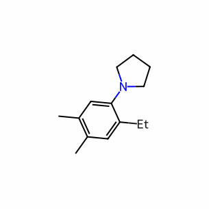 CCc1cc(C)c(C)cc1N1CCCC1